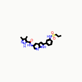 CCCS(=O)(=O)Nc1cccc(-c2cc3cc(NC(=O)c4[nH]nc(C)c4C)cnc3[nH]2)c1